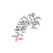 CC(C(O[SiH](C)C)C(C)(C)C)[C@H]1CC[C@H]2[C@@H]3CC[C@H]4C=C(P(=O)(O)O)CC[C@]4(C)[C@H]3CC[C@]12C